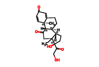 CC12CC(=O)[C@H]3[C@@H](CCC4=CC(=O)C=C[C@@]43C)[C@@H]1CC[C@]2(O)C(=O)CO